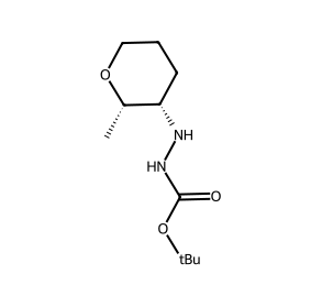 C[C@@H]1OCCC[C@@H]1NNC(=O)OC(C)(C)C